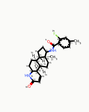 Cc1ccc(C(=O)NC2CC[C@H]3[C@@H]4CCC5NC(=O)C=C[C@]5(C)[C@@H]4CC[C@]23C)c(F)c1